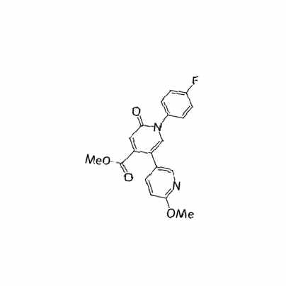 COC(=O)c1cc(=O)n(-c2ccc(F)cc2)cc1-c1ccc(OC)nc1